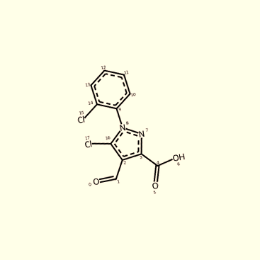 O=Cc1c(C(=O)O)nn(-c2ccccc2Cl)c1Cl